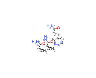 C=CC(N)=O.C=CC(N)=O.C=CC(N)=O.c1cnnnc1